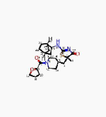 CC1(CC2CCN(C(=O)[C@H]3CCCO3)CC2)SC(N[C@H]2C[C@@H]3CC[C@H]2C3)=NC1=O